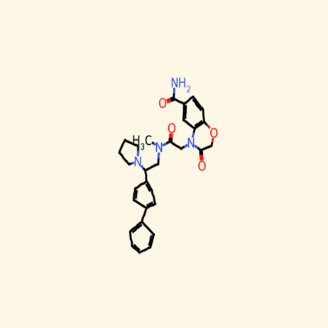 CN(CC(c1ccc(-c2ccccc2)cc1)N1CCCC1)C(=O)CN1C(=O)COc2ccc(C(N)=O)cc21